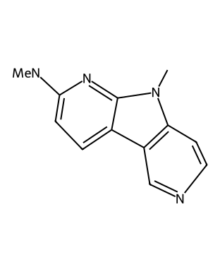 CNc1ccc2c3cnccc3n(C)c2n1